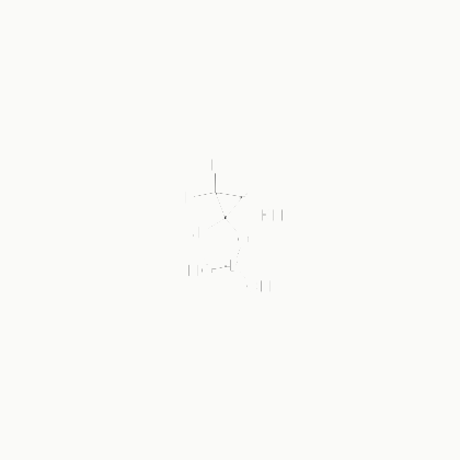 OB(O)OC1(F)CC1(F)F.[KH]